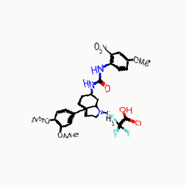 COc1ccc(NC(=O)NC2CCC3(c4ccc(OC)c(OC)c4)CCN(C)C3C2)c([N+](=O)[O-])c1.O=C(O)C(F)(F)F